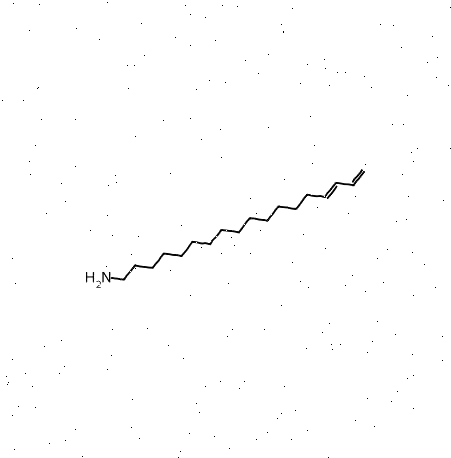 C=CC=CCCCCCCCCCCCCCCN